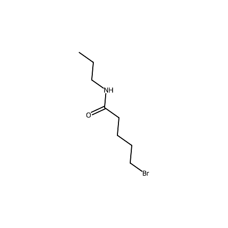 CCCNC(=O)CCCCBr